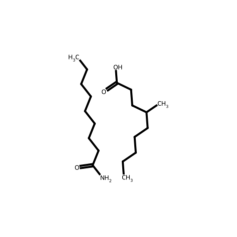 CCCCCC(C)CCC(=O)O.CCCCCCCCC(N)=O